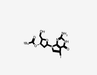 CC(C)(C)C(=O)O[C@H]1CC(n2cc(I)c3c(=O)[nH]c(N)nc32)OC1CO